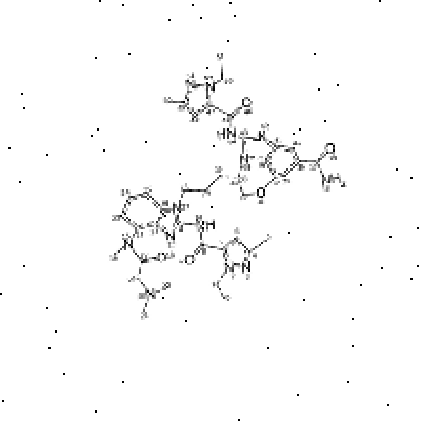 CCn1nc(C)cc1C(=O)Nc1nc2c(N(C)C(=O)CN(C)C)cccc2n1CCC[C@H]1COc2cc(C(N)=O)cc3nc(NC(=O)c4cc(C)nn4CC)n1c23